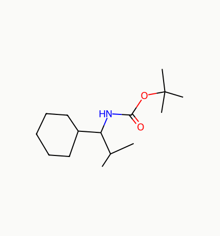 CC(C)C(NC(=O)OC(C)(C)C)C1CCCCC1